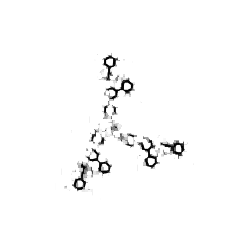 Cc1ccccc1-c1cc(N2CC[N+](C)(COP(=O)(OC[N+]3(C)CCN(c4cc(-c5ccccc5C)c(N(C)C(=O)C(C)(C)c5cc(C(F)(F)F)cc(C(F)(F)F)c5)cn4)CC3)OC[N+]3(C)CCN(c4cc(-c5ccccc5C)c(N(C)C(=O)C(C)(C)c5cc(C(F)(F)F)cc(C(F)(F)F)c5)cn4)CC3)CC2)ncc1N(C)C(=O)C(C)(C)c1cc(C(F)(F)F)cc(C(F)(F)F)c1.Cl